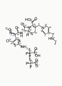 CCNCc1cc[n+](CC2=C(C(=O)O)N3C(=O)[C@@H](NC(=O)/C(=N\OC)c4nc(N)sc4Cl)[C@@H]3SC2)cc1.O=C(O)C(F)(F)F.O=C([O-])C(F)(F)F